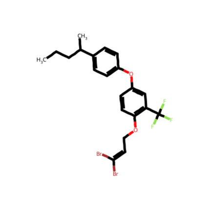 CCCC(C)c1ccc(Oc2ccc(OCC=C(Br)Br)c(C(F)(F)F)c2)cc1